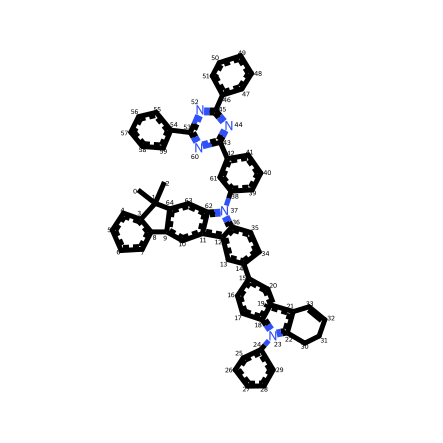 CC1(C)c2ccccc2-c2cc3c4cc(-c5ccc6c(c5)c5c(n6-c6ccccc6)CCC=C5)ccc4n(-c4cccc(-c5nc(-c6ccccc6)nc(-c6ccccc6)n5)c4)c3cc21